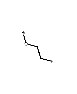 CCCCOBr